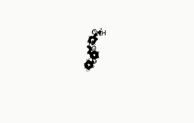 CNC(=O)C1CCN(CC2Cc3cc(Oc4ccccc4)ccc3O2)CC1